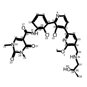 COc1nc(-c2ccnc(-c3cccc(NC(=O)c4cn(C)c(=O)n(C)c4=O)c3Cl)c2Cl)ccc1CNC[C@@H](C)O